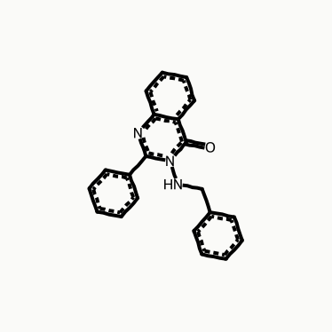 O=c1c2ccccc2nc(-c2ccccc2)n1NCc1ccccc1